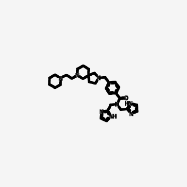 O=C(c1ccc(CN2CCC3(CCCN(CCN4CCCCC4)C3)C2)cc1)N(Cc1ncc[nH]1)Cc1ncc[nH]1